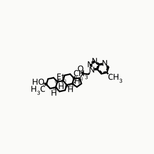 CC[C@]12CC[C@@](C)(O)C[C@@H]1CC[C@H]1[C@@H]3CC[C@H](C(=O)Cn4nnc5ncc(C)cc54)[C@@]3(C)CC[C@@H]12